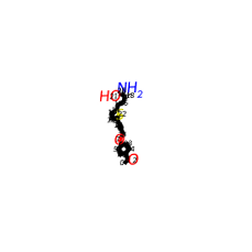 CC(=O)c1ccc(OCC#Cc2ccc(CC[C@@H](C)C(N)O)s2)cc1